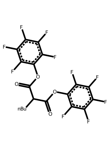 CCCCC(C(=O)Oc1c(F)c(F)c(F)c(F)c1F)C(=O)Oc1c(F)c(F)c(F)c(F)c1F